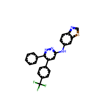 FC(F)(F)c1ccc(-c2cc(Nc3ccc4ncsc4c3)nnc2-c2ccccc2)cc1